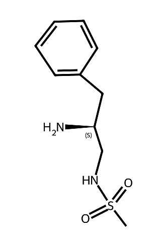 CS(=O)(=O)NC[C@@H](N)Cc1ccccc1